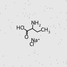 CCC(N)C(=O)O.[Cl-].[Na+]